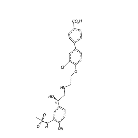 CS(=O)(=O)Nc1cc([C@@H](O)CNCCOc2ccc(-c3ccc(C(=O)O)cc3)cc2Cl)ccc1O